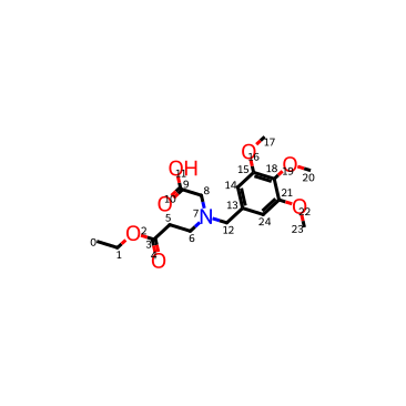 CCOC(=O)CCN(CC(=O)O)Cc1cc(OC)c(OC)c(OC)c1